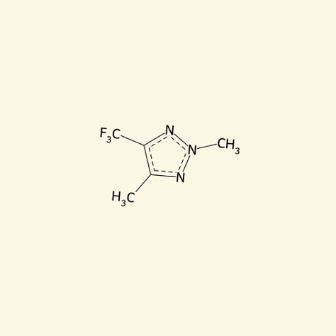 Cc1nn(C)nc1C(F)(F)F